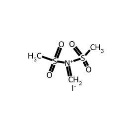 C=[N+](S(C)(=O)=O)S(C)(=O)=O.[I-]